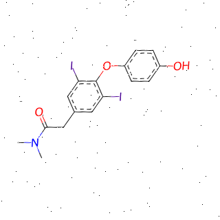 CN(C)C(=O)Cc1cc(I)c(Oc2ccc(O)cc2)c(I)c1